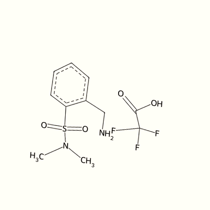 CN(C)S(=O)(=O)c1ccccc1CN.O=C(O)C(F)(F)F